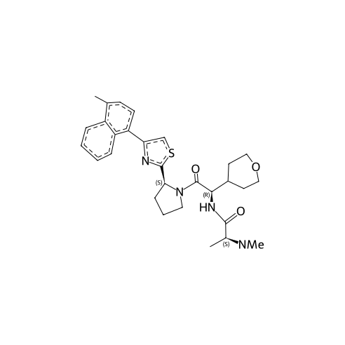 CN[C@@H](C)C(=O)N[C@@H](C(=O)N1CCC[C@H]1c1nc(-c2ccc(C)c3ccccc23)cs1)C1CCOCC1